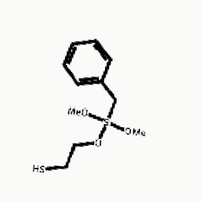 CO[Si](Cc1ccccc1)(OC)OCCS